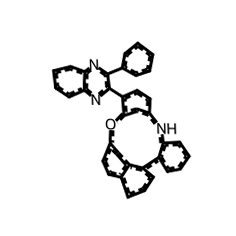 c1ccc(-c2nc3ccccc3nc2-c2ccc3cc2oc2ccc4cccc(c4c2)c2ccccc2[nH]3)cc1